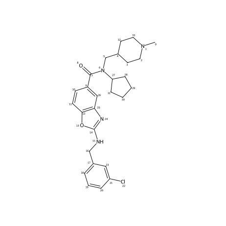 CN1CCC(CN(C(=O)c2ccc3oc(NCc4cccc(Cl)c4)nc3c2)C2CCCC2)CC1